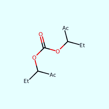 CCC(OC(=O)OC(CC)C(C)=O)C(C)=O